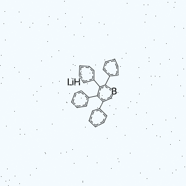 [LiH].b1cc(-c2ccccc2)c(-c2ccccc2)c(-c2ccccc2)c1-c1ccccc1